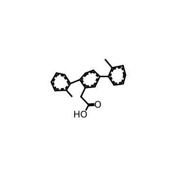 Cc1ccccc1-c1ccc(-c2ccccc2C)c(CC(=O)O)c1